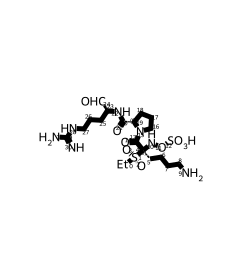 CCS(=O)(=O)[C@](CCCCN)(NOS(=O)(=O)O)C(=O)N1CCC[C@H]1C(=O)N[C@H](C=O)CCCNC(=N)N